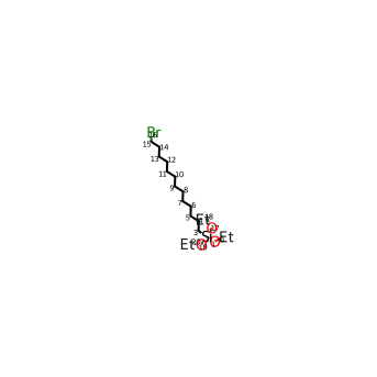 CCO[Si](CCCCCCCCCCCCCBr)(OCC)OCC